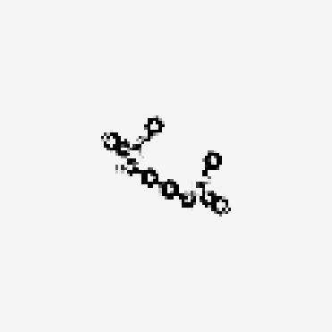 O=C(OCc1ccccc1)N1CC2(CCOCC2)C[C@H]1c1ccc(-c2ccc(-c3ccc(-c4c[nH]c([C@@H]5CC6(CCOCC6)CN5C(=O)OCc5ccccc5)n4)cc3)cc2)[nH]1